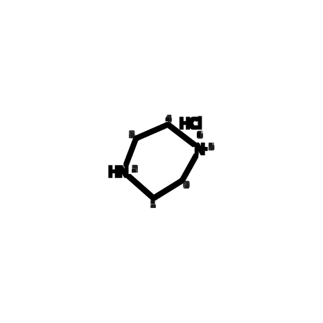 C1CNCC[N]1.Cl